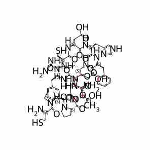 C[C@@H](O)[C@H](NC(=O)[C@@H]1CCCN1C(=O)[C@@H]1CCCN1C(=O)[C@@H](N)CS)C(=O)N[C@@H](CCC(=O)O)C(=O)N[C@@H](Cc1ccccc1)C(=O)N[C@@H](CS)C(=O)N[C@@H](CC(=O)O)C(=O)N[C@@H](Cc1c[nH]cn1)C(=O)N[C@@H](Cc1ccccc1)C(=O)N[C@@H](CCCNC(=N)N)C(=O)N[C@@H](CC(=O)O)C(N)=O